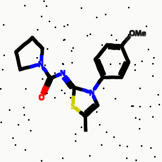 COc1ccc(-n2cc(C)sc2=NC(=O)N2CCCC2)cc1